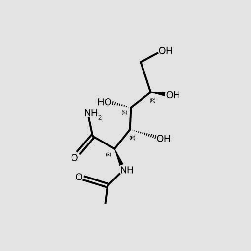 CC(=O)N[C@@H](C(N)=O)[C@@H](O)[C@H](O)[C@H](O)CO